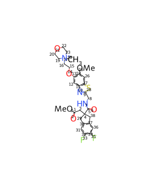 COC(=O)CC1(C(=O)NCc2nc3cc(OCC[N+]4(C)CCOCC4)c(OC)cc3s2)Cc2cc(F)c(F)cc2C1